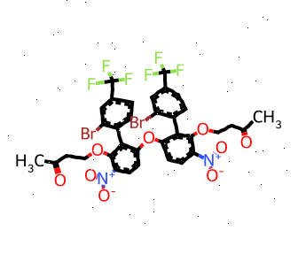 CC(=O)CCOc1c([N+](=O)[O-])ccc(Oc2ccc([N+](=O)[O-])c(OCCC(C)=O)c2-c2ccc(C(F)(F)F)cc2Br)c1-c1ccc(C(F)(F)F)cc1Br